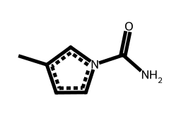 Cc1ccn(C(N)=O)c1